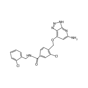 Nc1cc(OCc2ccc(C(=O)NCc3ccccc3Cl)cc2Cl)c2nn[nH]c2n1